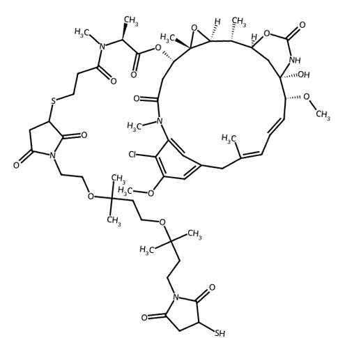 COc1cc2cc(c1Cl)N(C)C(=O)C[C@H](OC(=O)[C@H](C)N(C)C(=O)CCSC1CC(=O)N(CCOC(C)(C)CCOC(C)(C)CCN3C(=O)CC(S)C3=O)C1=O)[C@]1(C)O[C@H]1[C@H](C)[C@@H]1C[C@@](O)(NC(=O)O1)[C@H](OC)/C=C/C=C(\C)C2